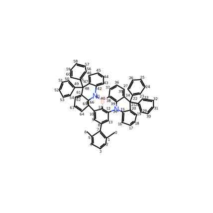 Cc1cccc(C)c1-c1cc2c3c(c1)N1c4ccccc4C(c4ccccc4)(c4ccccc4)c4cccc(c41)B3N1c3ccccc3C(c3ccccc3)(c3ccccc3)c3cccc-2c31